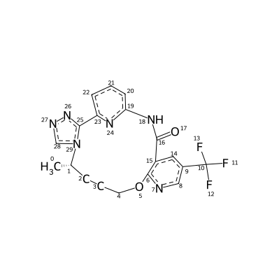 C[C@H]1CCCOc2ncc(C(F)(F)F)cc2C(=O)Nc2cccc(n2)-c2nncn21